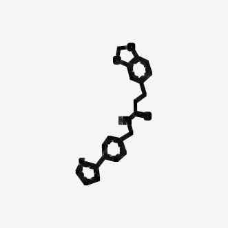 O=C(CCc1ccc2c(c1)OCO2)NCc1ccc(-c2cccs2)cc1